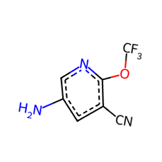 N#Cc1cc(N)cnc1OC(F)(F)F